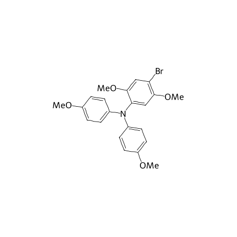 COc1ccc(N(c2ccc(OC)cc2)c2cc(OC)c(Br)cc2OC)cc1